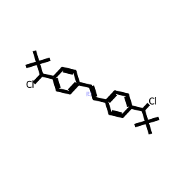 CC(C)(C)C(Cl)c1ccc(/C=C/c2ccc(C(Cl)C(C)(C)C)cc2)cc1